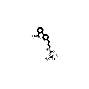 CC(C)(C)OC(=O)NCCCc1ccc(-c2ccccc2C(N)=S)cc1